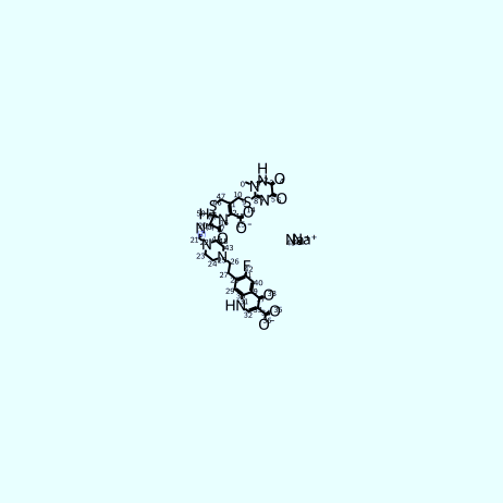 Cn1[nH]c(=O)c(=O)nc1SCC1=C(C(=O)[O-])N2C(=O)[C@H](/N=C\N3CCN(CCc4cc5[nH]cc(C(=O)[O-])c(=O)c5cc4F)CC3)[C@@H]2SC1.[Na+].[Na+]